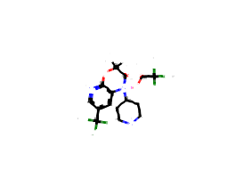 CC1(C)Oc2ncc(C(F)(F)F)cc2[N+](OC(=O)C(F)(F)F)(C2CCNCC2)C1=O